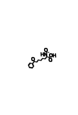 O=[C]NC(CCCCCC(=O)c1ccccc1)C(=O)O